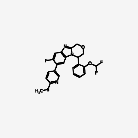 CSc1ccc(-c2cc3c(cc2F)nc2n3C(c3ccccc3OC(F)F)COC2)cn1